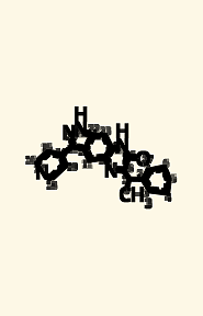 CC(c1ccccc1)c1nc2cc3c(-c4ccncc4)n[nH]c3cc2[nH]c1=O